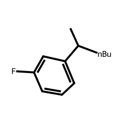 CCCC[C](C)c1cccc(F)c1